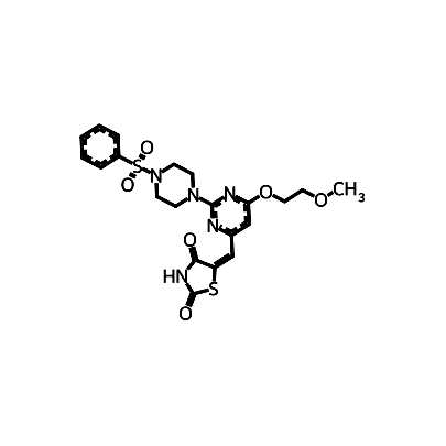 COCCOc1cc(C=C2SC(=O)NC2=O)nc(N2CCN(S(=O)(=O)c3ccccc3)CC2)n1